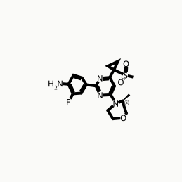 C[C@H]1COCCN1c1cc(C2(S(C)(=O)=O)CC2)nc(-c2ccc(N)c(F)c2)n1